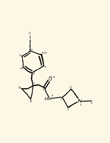 CN1CC(NC(=O)C2(c3ccc(I)cc3)CC2)C1